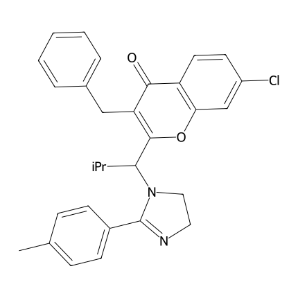 Cc1ccc(C2=NCCN2C(c2oc3cc(Cl)ccc3c(=O)c2Cc2ccccc2)C(C)C)cc1